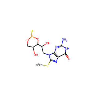 CCCSc1nc2c(=O)[nH]c(N)nc2n1CC(O)C1OP(S)OCC1O